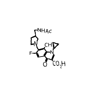 CC(=O)NCC1CCN(c2c(F)cc3c(=O)c(C(=O)O)cn(C4CC4)c3c2C)C1